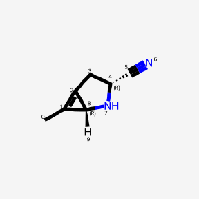 CC1=C2C[C@H](C#N)N[C@H]12